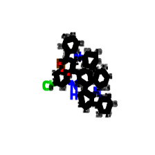 Clc1cc(Br)cc(Nc2c(-c3cccc4c5ccccc5n(-c5ccccc5)c34)cccc2-c2cccc3c4ccccc4n(-c4ccccc4)c23)c1